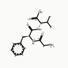 CC(C)[C@H](NC(=O)[C@H](Cc1ccccc1)NC(=O)CN)C(=O)O